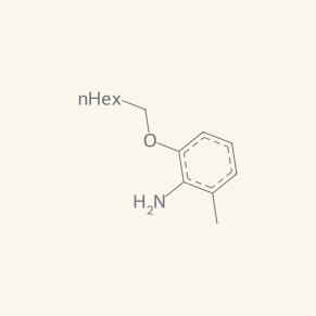 CCCCCCCOc1cccc(C)c1N